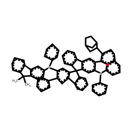 CC1(C)c2ccccc2-c2cc(N(c3ccccc3)c3cc4c(cc3-c3ccccc3)-c3ccccc3C43c4ccccc4-c4cc(-c5ccccc5C5CC6CCC5C6)c(N(c5ccccc5)c5ccccc5)cc43)ccc21